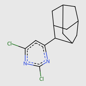 Clc1cc(C2C3CC4CC(C3)CC2C4)nc(Cl)n1